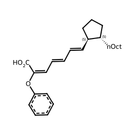 CCCCCCCC[C@H]1CCC[C@@H]1C=CC=CC=C(Oc1ccccc1)C(=O)O